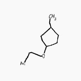 CC(=O)COC1CCC(C)C1